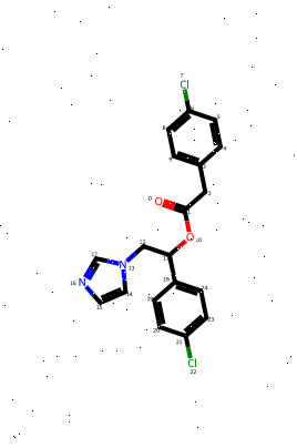 O=C(Cc1ccc(Cl)cc1)OC(Cn1ccnc1)c1ccc(Cl)cc1